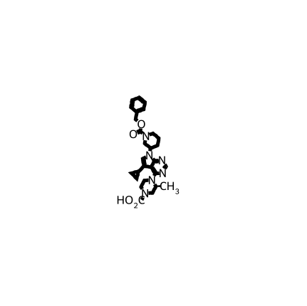 C[C@H]1CN(C(=O)O)CCN1c1ncnc2c1c(C1CC1)cn2C1CCCN(C(=O)OCc2ccccc2)C1